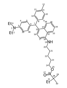 CCN(CC)c1ccc(C(c2ccc(C)cc2)c2ccc(NCCCCCOC(=O)C(C)(C)CC)c3ccccc23)cc1